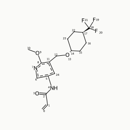 C=CC(=O)Nc1cnc(OC)c(CO[C@H]2CC[C@H](C(F)(F)F)CC2)c1